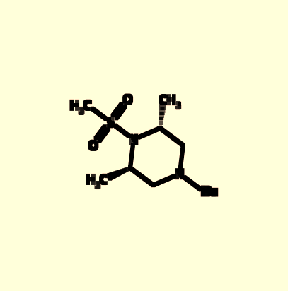 CCC(C)N1C[C@@H](C)N(S(C)(=O)=O)[C@H](C)C1